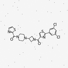 O=C(c1csc(-c2cc(Cl)cc(Cl)c2)n1)N1CC(N2CCN(C(=O)c3nccs3)CC2)C1